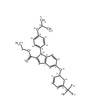 CCOC(=O)c1cc2cc(ON3C=CC=C(C(F)(F)F)C3)ccc2n1-c1ccc(OC(C)C)cc1